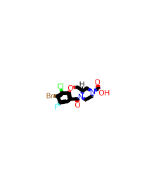 O=C(O)N1CCN2C(=O)c3cc(F)c(Br)c(Cl)c3OC[C@H]2C1